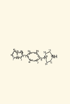 c1cn2cc(-c3ccc(N4CCNCC4)cc3)nc2s1